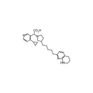 O=C(O)C(c1cnccc1C1CC1)N1CCC(CCCCCc2ccc3c(n2)NCCC3)C1